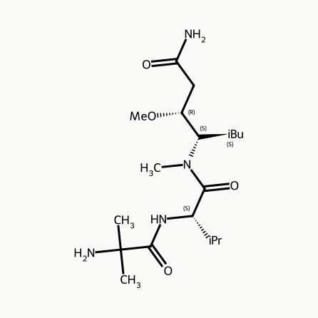 CC[C@H](C)[C@@H]([C@@H](CC(N)=O)OC)N(C)C(=O)[C@@H](NC(=O)C(C)(C)N)C(C)C